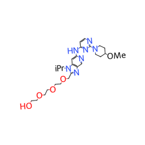 COC1CCN(c2nccc(Nc3cc4c(cn3)nc(COCCOCCOCCO)n4C(C)C)n2)CC1